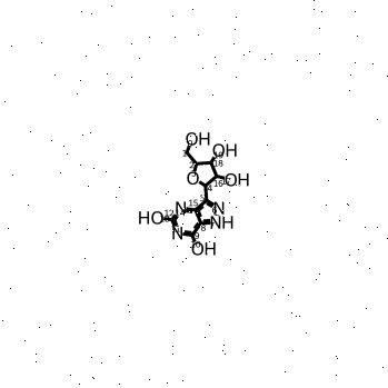 OCC1OC(c2n[nH]c3c(O)nc(O)nc23)C(O)C1O